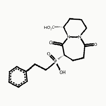 O=C(O)[C@@H]1CCCN2C(=O)CC[C@H](P(=O)(O)CCc3ccccc3)C(=O)N12